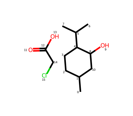 CC1CCC(C(C)C)C(O)C1.O=C(O)CCl